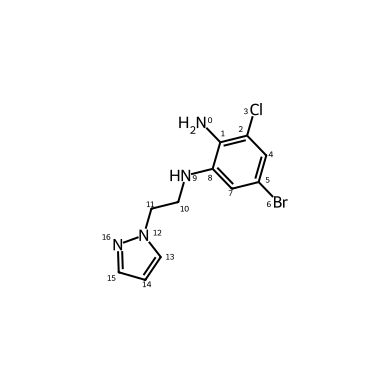 Nc1c(Cl)cc(Br)cc1NCCn1cccn1